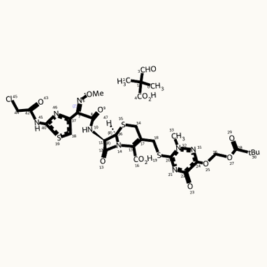 CC(C)(C=O)C(=O)O.CO/N=C(\C(=O)N[C@@H]1C(=O)N2C(C(=O)O)=C(CSc3nc(=O)c(OCOC(=O)C(C)(C)C)nn3C)CS[C@H]12)c1csc(NC(=O)CCl)n1